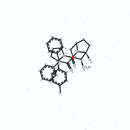 Cc1ccc([C@H]2CCCN2C(=O)N2C3CC[C@@H]2[C@@H](C(=O)O)N(C(=O)N(c2ccccc2)c2ccccc2)C3)cc1